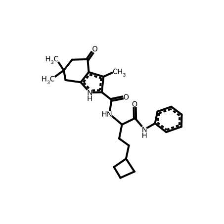 Cc1c(C(=O)NC(CCC2CCC2)C(=O)Nc2ccccc2)[nH]c2c1C(=O)CC(C)(C)C2